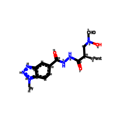 CCCCC[C@H](CN(O)C=O)C(=O)NNC(=O)c1ccc2c(c1)nnn2C(C)C